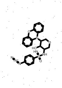 [N-]=[N+]=Nc1ccc(S(=N)(=O)NC2COCC(N3c4ccccc4Oc4ccccc43)C2O)cc1